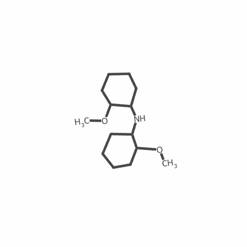 COC1CCCCC1NC1CCCCC1OC